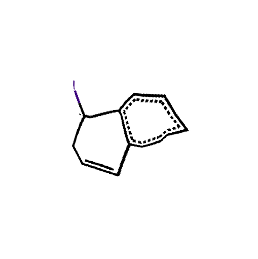 I[C]1CC=Cc2ccccc21